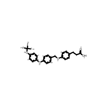 O=C(O)CCc1ccc(OCc2ccc(Oc3ccc(OC(F)(F)F)cc3)cc2)cc1